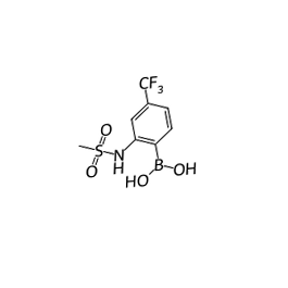 CS(=O)(=O)Nc1cc(C(F)(F)F)ccc1B(O)O